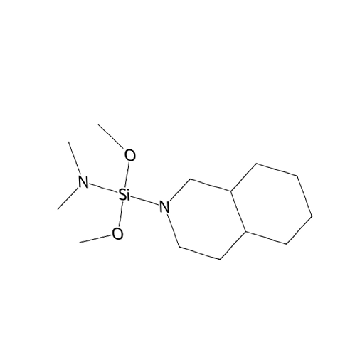 CO[Si](OC)(N(C)C)N1CCC2CCCCC2C1